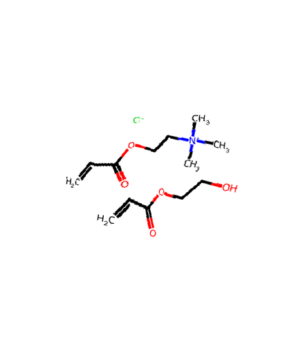 C=CC(=O)OCCO.C=CC(=O)OCC[N+](C)(C)C.[Cl-]